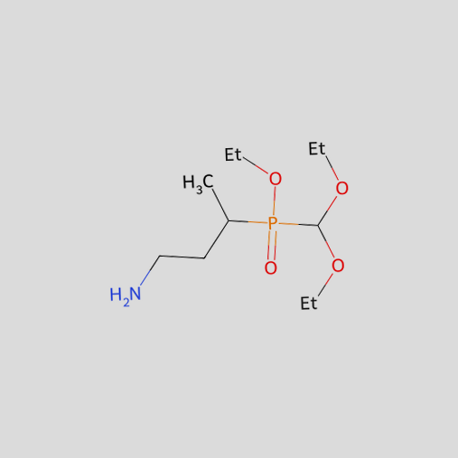 CCOC(OCC)P(=O)(OCC)C(C)CCN